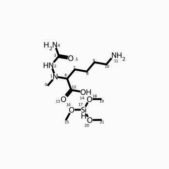 CN(NC(N)=O)C(CCCCN)C(=O)O.CO[SiH](OC)OC